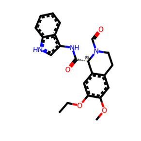 CCOc1cc2c(cc1OC)CCN(C=O)[C@H]2C(=O)Nc1c[nH]c2ccccc12